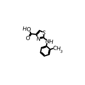 Cc1ccccc1Nc1nc(C(=O)O)cs1